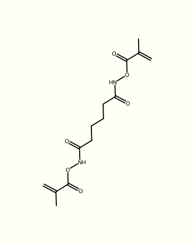 C=C(C)C(=O)ONC(=O)CCCCC(=O)NOC(=O)C(=C)C